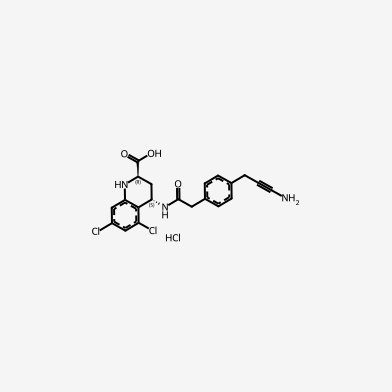 Cl.NC#CCc1ccc(CC(=O)N[C@H]2C[C@H](C(=O)O)Nc3cc(Cl)cc(Cl)c32)cc1